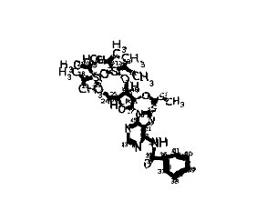 CSC(=S)O[C@@H]1[C@@H]2O[Si](C(C)C)(C(C)C)O[Si](C(C)C)(C(C)C)OC[C@H]2O[C@H]1n1cnc2c(NC(=O)c3ccccc3)ncnc21